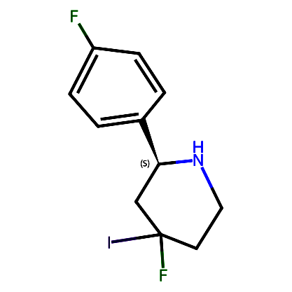 Fc1ccc([C@@H]2CC(F)(I)CCN2)cc1